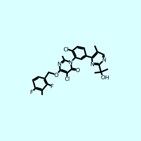 Cc1cnc(C(C)(C)O)nc1-c1ccc(Cl)c(-n2c(C)nc(OCc3ccc(F)c(C)c3F)c(Cl)c2=O)c1